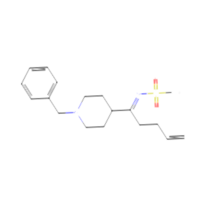 C=CCCC(=NS(=O)(=O)C(C)(C)C)C1CCN(Cc2ccccc2)CC1